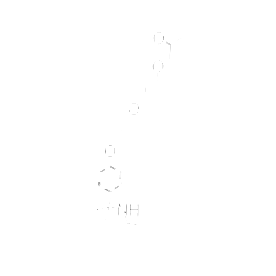 CC(=O)COCCCOCCCOc1ccc(C2(NC(C)C)CC2)cc1